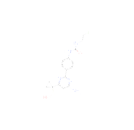 Nc1cc(C2(SO)CC2)nc(-c2ccc(NC(=O)NCCF)cc2)n1